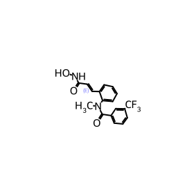 CN(C(=O)c1cccc(C(F)(F)F)c1)c1ccccc1/C=C/C(=O)NO